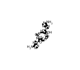 CP1(=O)OC[C@H]2O[C@@H](n3cnc4c(N)ncnc43)[C@H](OS(=O)OC[C@H]3O[C@@H](n4cnc5c(N)ncnc54)[C@H](O)[C@@H]3O1)[C@@H]2F